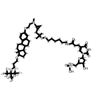 CN(CCOc1ccc2c(c1)CCC1C2CCC2(C)C(OCCCOC(C(F)(F)F)(C(F)(F)F)C(F)(F)F)CCC12)C1CC1CC(C)(C)SSCCCCCCNC(=O)CCc1cn(C2CC(O)C(CO[PH](=O)O)O2)c(=O)[nH]c1=O